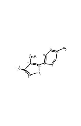 CC(=O)c1ccc(-c2onc(C)c2C(=O)O)cc1